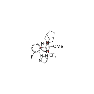 COc1c(C(F)(F)F)ccnc1N1C2CCC1CN(C(=O)c1cccc(F)c1-n1nccn1)C2